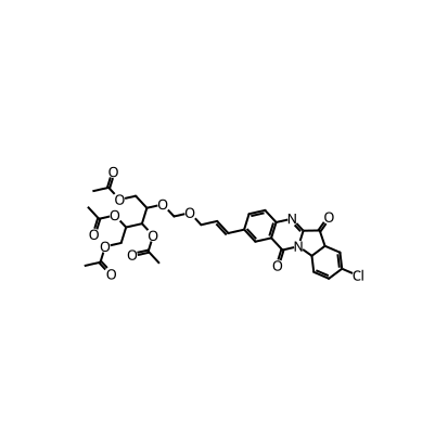 CC(=O)OCC(OCOC/C=C/c1ccc2nc3n(c(=O)c2c1)C1C=CC(Cl)=CC1C3=O)C(OC(C)=O)C(COC(C)=O)OC(C)=O